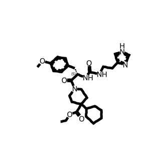 CCOC(=O)C1(C2CCCCC2)CCN(C(=O)[C@H](Cc2ccc(OC)cc2)NC(=O)NCCc2c[nH]cn2)CC1